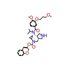 COCCCOc1cc(C(=O)N(C[C@@H]2CNC[C@H]2CN(C(=O)OC2=Cc3ccccc3OC2)C2CC2)C(C)C)ccc1OC